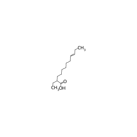 CC/C=C/CCCCCCC(CC)C(=O)O